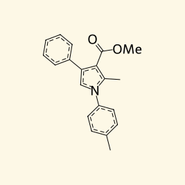 COC(=O)c1c(-c2ccccc2)cn(-c2ccc(C)cc2)c1C